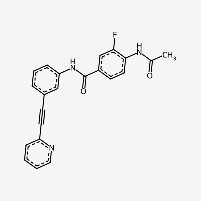 CC(=O)Nc1ccc(C(=O)Nc2cccc(C#Cc3ccccn3)c2)cc1F